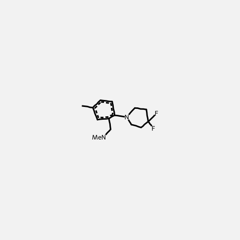 CNCc1cc(C)ccc1N1CCC(F)(F)CC1